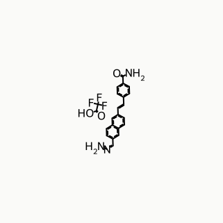 N/N=C\c1ccc2cc(/C=C/c3ccc(C(N)=O)cc3)ccc2c1.O=C(O)C(F)(F)F